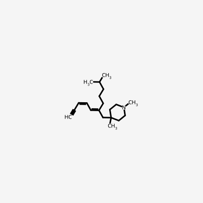 C#C/C=C\C=C(/CCCC(C)C)CC1(C)CCN(C)CC1